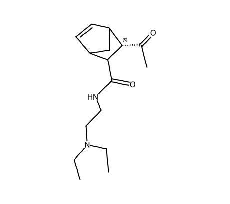 CCN(CC)CCNC(=O)C1C2C=CC(C2)[C@@H]1C(C)=O